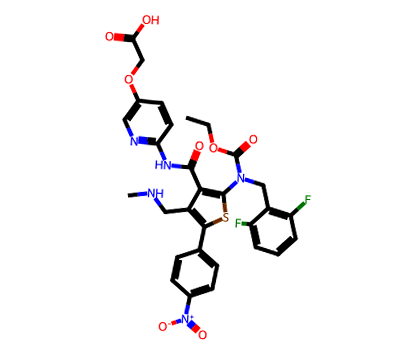 CCOC(=O)N(Cc1c(F)cccc1F)c1sc(-c2ccc([N+](=O)[O-])cc2)c(CNC)c1C(=O)Nc1ccc(OCC(=O)O)cn1